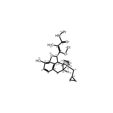 CCO/C(=C(/C)C(=O)NC(C)C)[C@@H]1Oc2c(O)ccc3c2[C@@]12CCN(CC1CC1)[C@H](C3)[C@@]2(C)O